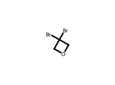 BrC1(Br)COC1